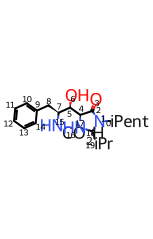 CCCC(C)N1C(=O)[C@H]([C@H](O)[C@H](Cc2ccccc2)NC(=O)O)NC1C(C)C